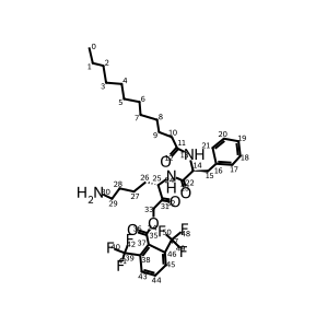 CCCCCCCCCCCC(=O)N[C@@H](Cc1ccccc1)C(=O)N[C@@H](CCCCN)C(=O)COC(=O)c1c(C(F)(F)F)cccc1C(F)(F)F